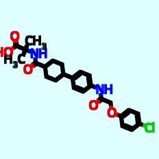 CC(C)(NC(=O)C1CCC(c2ccc(NC(=O)COc3ccc(Cl)cc3)cc2)CC1)C(=O)O